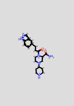 NC(=O)C1CN(C2CCNCC2)CCN1C(=O)[CH]Cc1ccc2[nH]ncc2c1